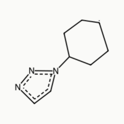 [CH]1CCC(n2ccnn2)CC1